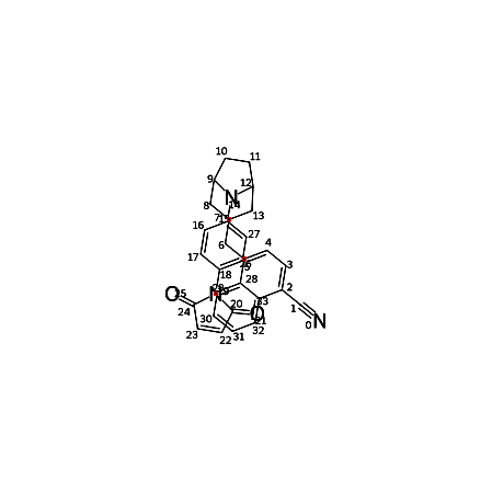 N#Cc1ccc(CC2CC3CCC(C2)N3c2ccc(N3C(=O)C=CC3=O)cc2)c2ccccc12